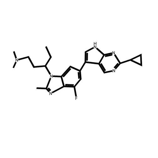 CCC(CCN(C)C)n1c(C)nc2c(F)cc(-c3c[nH]c4nc(C5CC5)ncc34)cc21